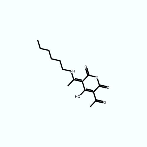 CCCCCCN/C(C)=C1\C(=O)OC(=O)C(C(C)=O)=C1O